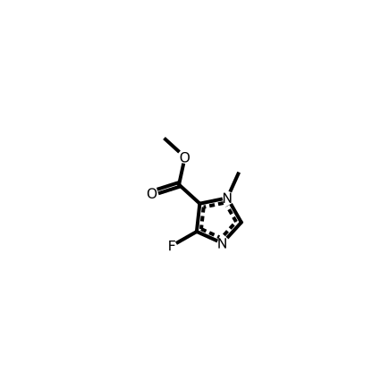 COC(=O)c1c(F)ncn1C